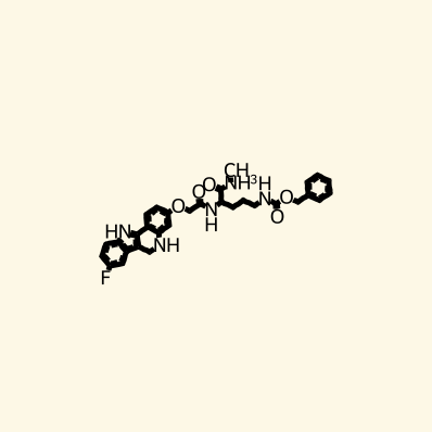 CNC(=O)C(CCCNC(=O)OCc1ccccc1)NC(=O)COc1ccc2c(c1)NCc1c-2[nH]c2ccc(F)cc12